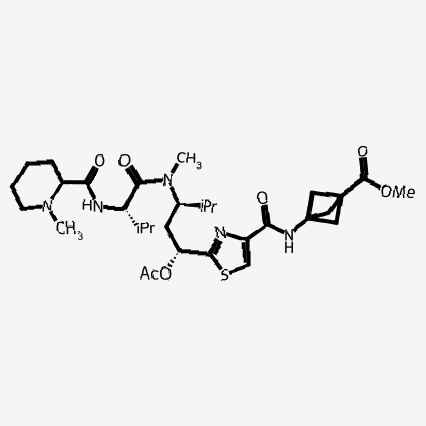 COC(=O)C12CC(NC(=O)c3csc([C@@H](C[C@H](C(C)C)N(C)C(=O)[C@@H](NC(=O)C4CCCCN4C)C(C)C)OC(C)=O)n3)(C1)C2